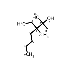 CCCCC(C)(CC)C(O)(O)I